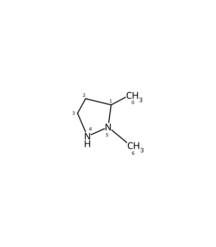 CC1CCNN1C